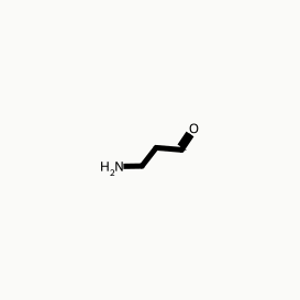 NCC[C]=O